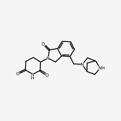 O=C1CCC(N2Cc3c(CN4CC5CC4CN5)cccc3C2=O)C(=O)N1